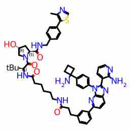 Cc1ncsc1-c1ccc(CNC(=O)[C@@H]2C[C@@H](O)CN2C(=O)[C@@H](NC(=O)CCCCCNC(=O)CCc2cccc(-c3ccc4nc(-c5cccnc5N)n(-c5ccc(C6(N)CCC6)cc5)c4n3)c2)C(C)(C)C)cc1